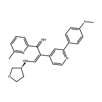 CSc1ccc(-c2cc(/C(=C/N[C@H]3CCOC3)C(=N)c3cccc(C)n3)ccn2)cc1